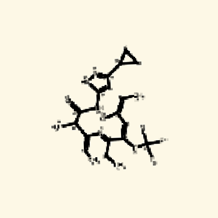 C\C=C(/N=C(CC)/C(=C\C(Cl)=C/C)OC(F)(F)F)C(C)C(=O)Nc1cc(C2CC2)n[nH]1